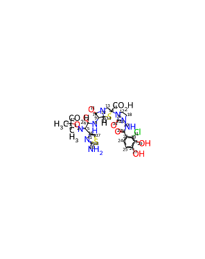 CC(C)(O/N=C(\C(=O)NC1C(=O)N2CC(C(=O)O)(N3CCN(NC(=O)c4ccc(O)c(O)c4Cl)C3=O)S[C@H]12)c1csc(N)n1)C(=O)O